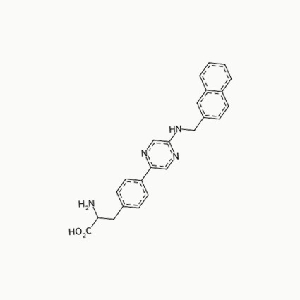 NC(Cc1ccc(-c2cnc(NCc3ccc4ccccc4c3)cn2)cc1)C(=O)O